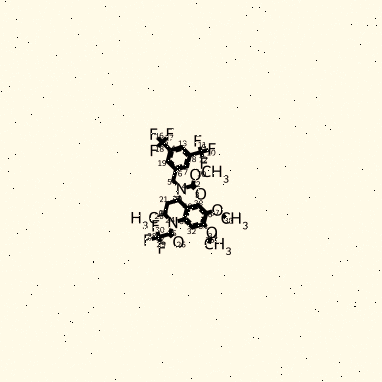 COC(=O)N(Cc1cc(C(F)(F)F)cc(C(F)(F)F)c1)[C@H]1C[C@@H](C)N(C(=O)C(F)(F)F)c2cc(OC)c(OC)cc21